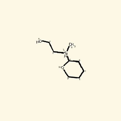 C[SiH](CCO)C1CCCCO1